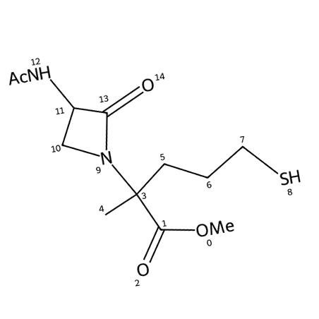 COC(=O)C(C)(CCCS)N1CC(NC(C)=O)C1=O